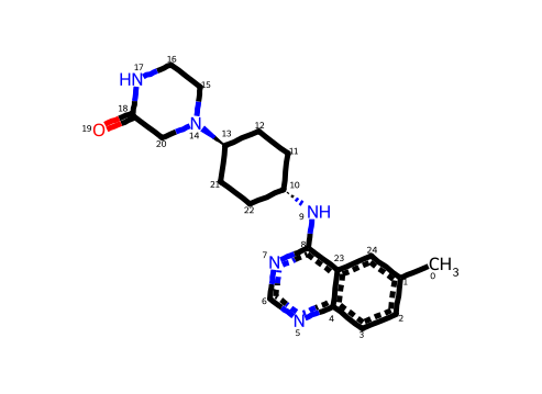 Cc1ccc2ncnc(N[C@H]3CC[C@H](N4CCNC(=O)C4)CC3)c2c1